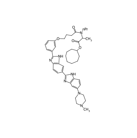 CCCN(C(=O)CCCOc1cccc(-c2nc3ccc(-c4nc5cc(N6CCN(C)CC6)ccc5[nH]4)cc3[nH]2)c1)C(C)C(=O)OC1CCCCCCC1